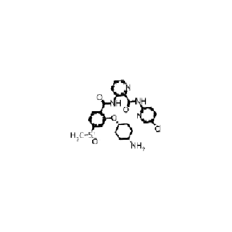 C[S+]([O-])c1ccc(C(=O)Nc2cccnc2C(=O)Nc2ccc(Cl)cn2)c(O[C@H]2CC[C@@H](N)CC2)c1